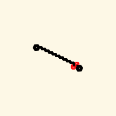 O=C(CCCCCCCCCCCCCCCCCCCc1ccccc1)Oc1ccccc1